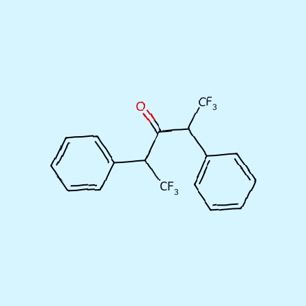 O=C(C(c1ccccc1)C(F)(F)F)C(c1ccccc1)C(F)(F)F